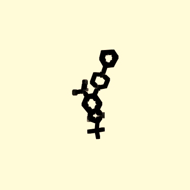 CC(C)(C)c1nc2cc(N3CCN(c4ccccc4)CC3)c([N+](=O)[O-])cc2s1